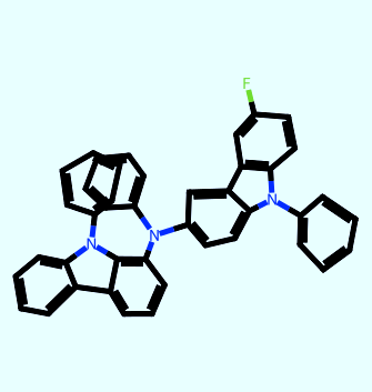 Fc1ccc2c(c1)c1cc(N(c3ccccc3)c3cccc4c5ccccc5n(-c5ccccc5)c34)ccc1n2-c1ccccc1